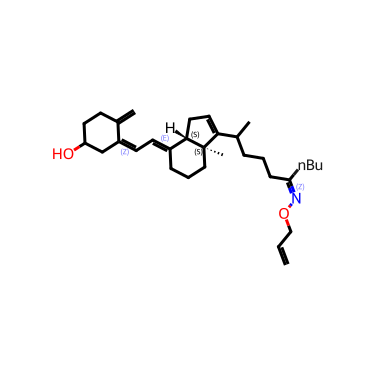 C=CCO/N=C(/CCCC)CCCC(C)C1=CC[C@H]2/C(=C/C=C3/CC(O)CCC3=C)CCC[C@]12C